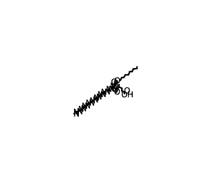 CCCCCCCCCCOP(=O)(CC(CCC(=O)O)C(=O)OC)ON=NN=NN=NN=NN=NN=NN=NN=NN=NN=NC